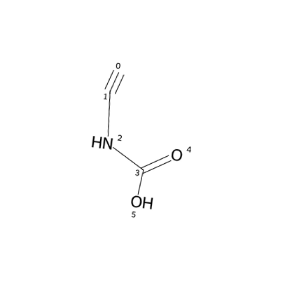 C#CNC(=O)O